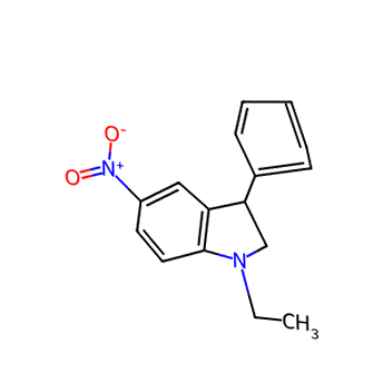 CCN1CC(c2ccccc2)c2cc([N+](=O)[O-])ccc21